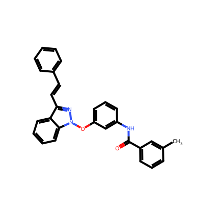 Cc1cccc(C(=O)Nc2cccc(On3nc(C=Cc4ccccc4)c4ccccc43)c2)c1